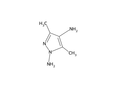 Cc1nn(N)c(C)c1N